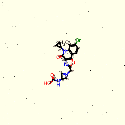 Cc1c(Br)ccc2c3oc(CN4CC(NC(=O)O)C4)nc3c(=O)n(C3CC3)c12